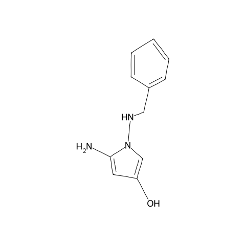 Nc1cc(O)cn1NCc1ccccc1